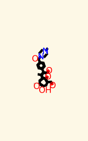 COC1=C(O)CC(C=O)=c2oc(=O)c(-c3ccc(C(=O)N4CCN(C)CC4)cc3)c(C)c2=C1